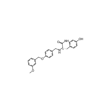 COc1cccc(COc2ccc(CN[C@@H](Cc3ccc(O)cc3)C(N)=O)cc2)c1